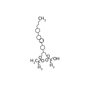 C=C(C)C(=O)OCCC(CCOC(=O)C(=C)CO)C1CCC(c2ccc3c(c2)CCC(C2CCC(CCCCC)CC2)C3)CC1